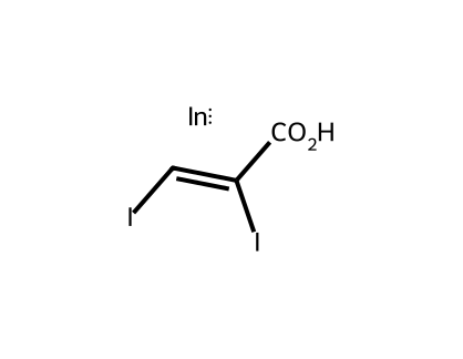 O=C(O)C(I)=CI.[In]